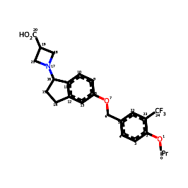 CC(C)Oc1ccc(COc2ccc3c(c2)CCC3N2CC(C(=O)O)C2)cc1C(F)(F)F